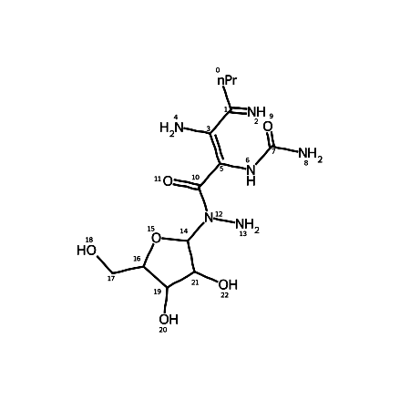 CCCC(=N)/C(N)=C(\NC(N)=O)C(=O)N(N)C1OC(CO)C(O)C1O